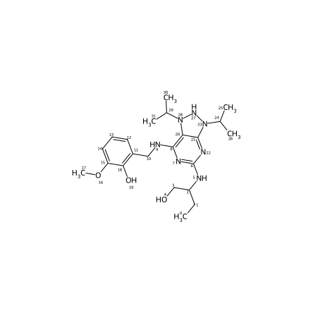 CCC(CO)Nc1nc(NCc2cccc(OC)c2O)c2c(n1)N(C(C)C)NN2C(C)C